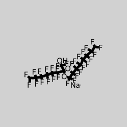 OC(F)(F)C1(C(F)(F)C(F)(F)C(F)(F)C(F)(F)C(F)(F)C(F)F)OC(F)(F)C(F)(C(F)(F)C(F)(F)C(F)(F)C(F)(F)C(F)(F)C(F)F)O1.[Na]